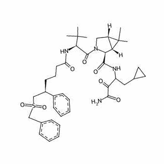 CC(C)(C)[C@H](NC(=O)CCC[C@H](CS(=O)(=O)Cc1ccccc1)c1ccccc1)C(=O)N1C[C@H]2[C@@H]([C@H]1C(=O)NC(CC1CC1)C(=O)C(N)=O)C2(C)C